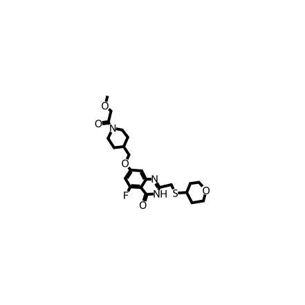 COCC(=O)N1CCC(COc2cc(F)c3c(=O)[nH]c(CSC4CCOCC4)nc3c2)CC1